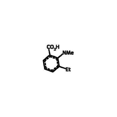 CCc1cccc(C(=O)O)c1NC